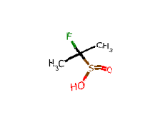 CC(C)(F)S(=O)O